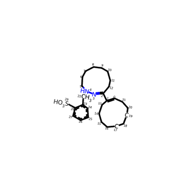 C1=C(C2=NNCCCCCCCC2)CCCCCCCCC1.Cc1ccccc1S(=O)(=O)O